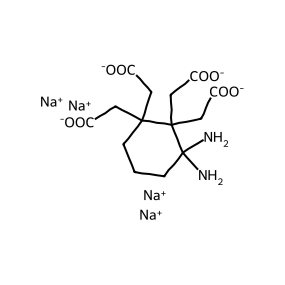 NC1(N)CCCC(CC(=O)[O-])(CC(=O)[O-])C1(CC(=O)[O-])CC(=O)[O-].[Na+].[Na+].[Na+].[Na+]